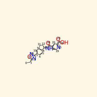 CCc1nc(-c2ccc3c(c2)CC[C@H]3NC(=O)c2ccnc(C(=O)O)c2)no1